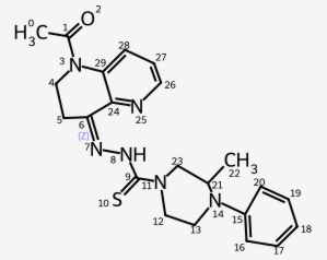 CC(=O)N1CC/C(=N/NC(=S)N2CCN(c3ccccc3)C(C)C2)c2ncccc21